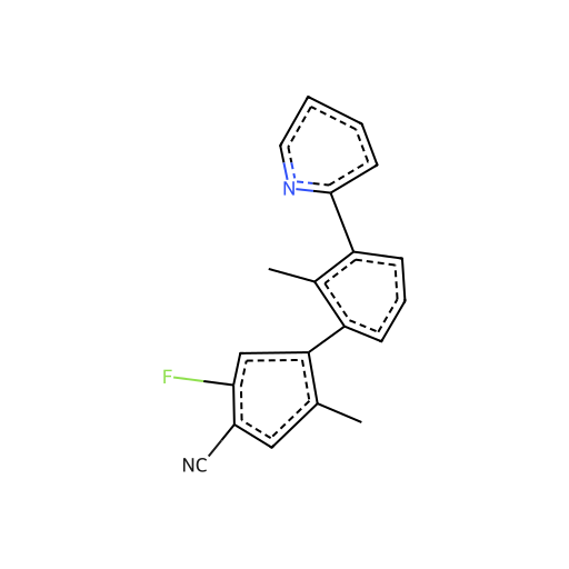 Cc1cc(C#N)c(F)cc1-c1cccc(-c2ccccn2)c1C